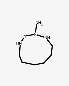 NN1NCCCCCCNN1